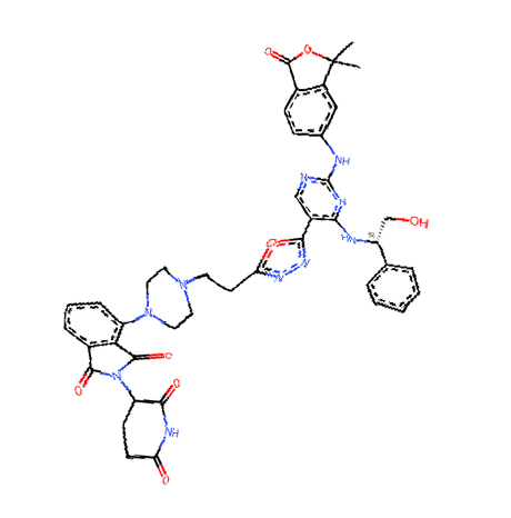 CC1(C)OC(=O)c2ccc(Nc3ncc(-c4nnc(CCN5CCN(c6cccc7c6C(=O)N(C6CCC(=O)NC6=O)C7=O)CC5)o4)c(N[C@H](CO)c4ccccc4)n3)cc21